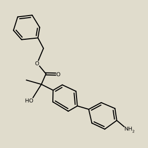 CC(O)(C(=O)OCc1ccccc1)c1ccc(-c2ccc(N)cc2)cc1